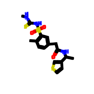 CNC(=S)NS(=O)(=O)c1cc(CC(=O)NC(C)c2ccsc2)ccc1C